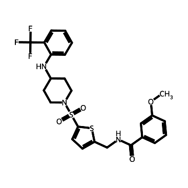 COc1cccc(C(=O)NCc2ccc(S(=O)(=O)N3CCC(Nc4ccccc4C(F)(F)F)CC3)s2)c1